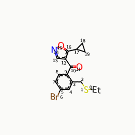 CCSCc1cc(Br)ccc1C(=O)c1cnoc1C1CC1